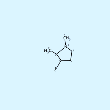 CC1C(F)CCN1C